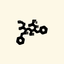 CC(C)(C)OC(=O)N(CC(O)C(Cc1ccccc1)NC(=O)C(F)(F)F)NCc1ccccc1